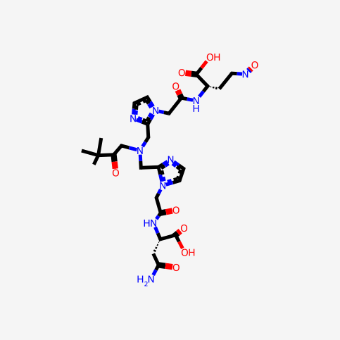 CC(C)(C)C(=O)CN(Cc1nccn1CC(=O)N[C@@H](CCN=O)C(=O)O)Cc1nccn1CC(=O)N[C@@H](CC(N)=O)C(=O)O